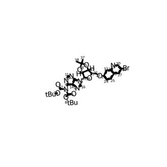 CC(C)(C)OC(=O)N(C(=O)OC(C)(C)C)c1ncnc2c1ncn2[C@@H]1O[C@H](COc2ccc3cc(Br)cnc3c2)[C@H]2OC(C)(C)O[C@H]21